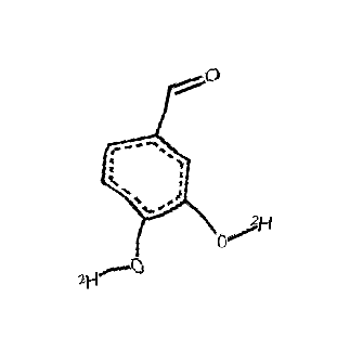 [2H]Oc1ccc(C=O)cc1O[2H]